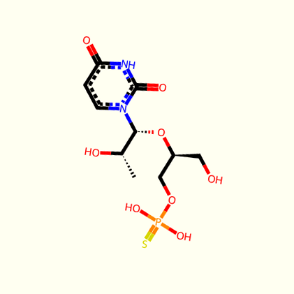 C[C@H](O)[C@@H](O[C@@H](CO)COP(O)(O)=S)n1ccc(=O)[nH]c1=O